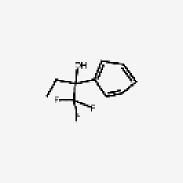 CCC(O)(c1ccccc1)C(F)(F)F